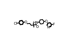 CC(C)(CCCOc1ccc(Cl)cc1)C(=O)NC1CCC(Oc2cncc(F)c2)CC1